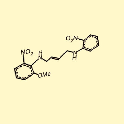 COc1cccc([N+](=O)[O-])c1NC/C=C/CNc1ccccc1[N+](=O)[O-]